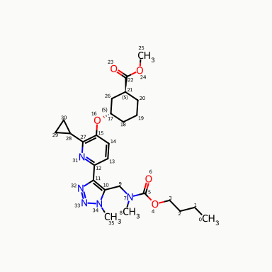 CCCCOC(=O)N(C)Cc1c(-c2ccc(O[C@H]3CCC[C@H](C(=O)OC)C3)c(C3CC3)n2)nnn1C